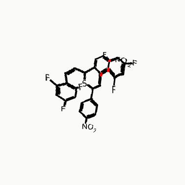 O=[N+]([O-])c1ccc(C(C=Cc2c(F)cc(F)cc2F)SC(/C=C\c2c(F)cc(F)cc2F)c2ccc([N+](=O)[O-])cc2)cc1